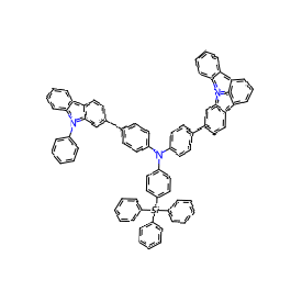 c1ccc(-n2c3ccccc3c3ccc(-c4ccc(N(c5ccc(-c6ccc7c8cccc9c%10ccccc%10n(c7c6)c98)cc5)c5ccc([Si](c6ccccc6)(c6ccccc6)c6ccccc6)cc5)cc4)cc32)cc1